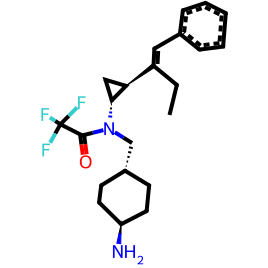 CC/C(=C\c1ccccc1)[C@@H]1C[C@H]1N(C[C@H]1CC[C@H](N)CC1)C(=O)C(F)(F)F